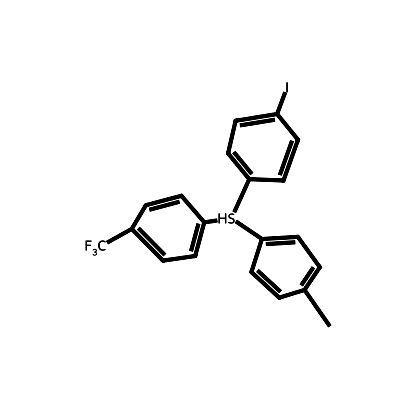 Cc1ccc([SH](c2ccc(I)cc2)c2ccc(C(F)(F)F)cc2)cc1